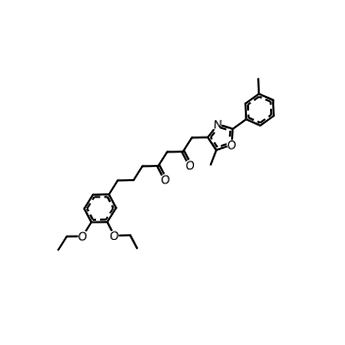 CCOc1ccc(CCCC(=O)CC(=O)Cc2nc(-c3cccc(C)c3)oc2C)cc1OCC